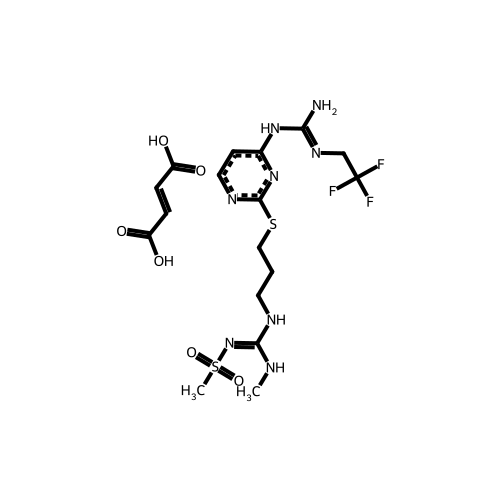 CNC(=NS(C)(=O)=O)NCCCSc1nccc(NC(N)=NCC(F)(F)F)n1.O=C(O)C=CC(=O)O